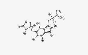 [2H]c1c(C[C@@]2([2H])COC(=O)N2[2H])c([2H])c2c(CC([2H])([2H])N(C)C)c([2H])n([2H])c2c1[2H]